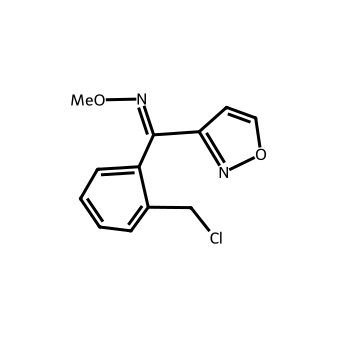 CO/N=C(/c1ccon1)c1ccccc1CCl